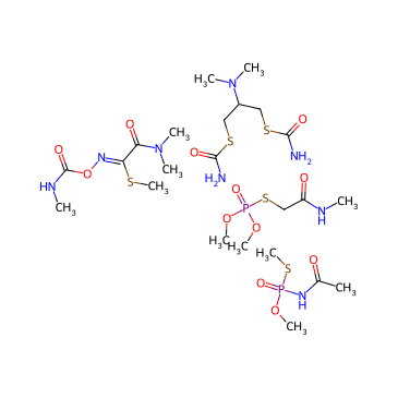 CN(C)C(CSC(N)=O)CSC(N)=O.CNC(=O)CSP(=O)(OC)OC.CNC(=O)ON=C(SC)C(=O)N(C)C.COP(=O)(NC(C)=O)SC